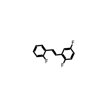 Fc1ccc(F)c(C=Cc2ccccc2F)c1